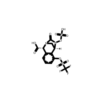 O=C(O)[C@H]1c2cccc(OS(=O)(=O)C(F)(F)F)c2[C@H]2CN1C(=O)N2OS(=O)(=O)O